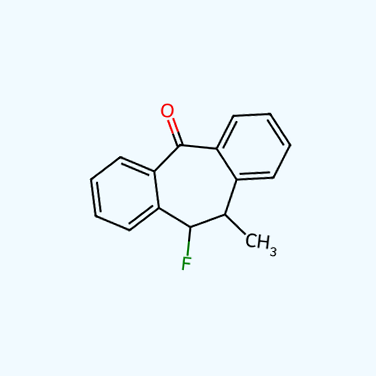 CC1c2ccccc2C(=O)c2ccccc2C1F